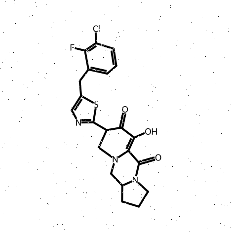 O=C1C(O)=C2C(=O)N3CCCC3CN2CC1c1ncc(Cc2cccc(Cl)c2F)s1